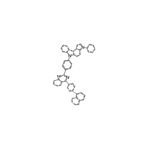 c1ccc(-n2ccc3c4c5ccccc5n(-c5ccc(-c6nc(-c7ccc(-c8cccc9ccccc89)cc7)c7ccccc7n6)cc5)c4ccc32)cc1